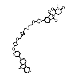 Cn1c2ccncc2c2ccc(-c3ccc(O[C@H]4C[C@H](OCC56CC(COCCOC7CN(c8ccc9c(c8)C(=O)N(C8CCC(=O)NC8=O)C9=O)C7)(C5)C6)C4)nc3)cc21